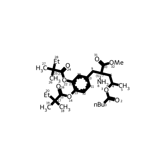 CCCCC(=O)OC(C)C[C@@](N)(Cc1ccc(OC(=O)C(C)(C)CC)c(OC(=O)C(C)(C)CC)c1)C(=O)OC